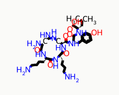 CC(C)C[C@H](NC(=O)[C@H](Cc1ccc(O)cc1)NC(=O)[C@@H]1CNC(=N)C[C@H](N)C(=O)N[C@@H](CCCCN)C(=O)N[C@@H](CCCCN)C(=O)N1)C(=O)O